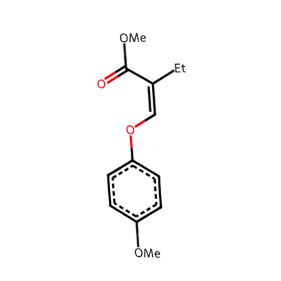 CCC(=COc1ccc(OC)cc1)C(=O)OC